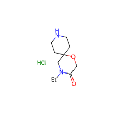 CCN1CC2(CCNCC2)OCC1=O.Cl